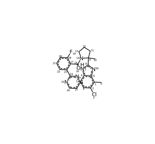 Cc1c(Cl)ccc2[nH]c(C3(C)CCCN3C(=O)c3c(F)cccc3-c3ncccn3)nc12